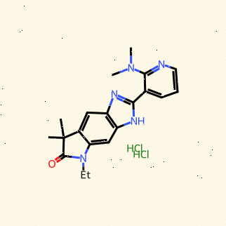 CCN1C(=O)C(C)(C)c2cc3nc(-c4cccnc4N(C)C)[nH]c3cc21.Cl.Cl